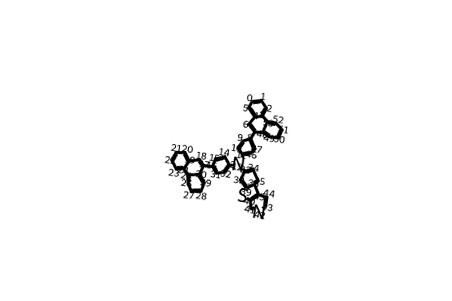 c1ccc2c(c1)cc(-c1ccc(N(c3ccc(-c4cc5ccccc5c5ccccc45)cc3)c3ccc4c(c3)sc3cnccc34)cc1)c1ccccc12